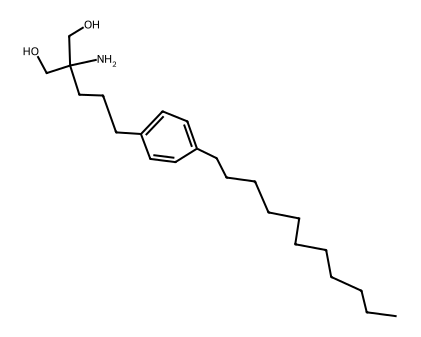 CCCCCCCCCCCc1ccc(CCCC(N)(CO)CO)cc1